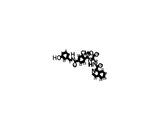 O=C(NCc1cccc(O)c1)c1ccc(C(=O)N[C@@H](CNC(=O)c2nccc3ccccc23)C(=O)O)c(Cl)c1